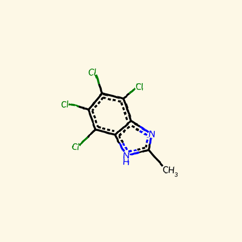 Cc1nc2c(Cl)c(Cl)c(Cl)c(Cl)c2[nH]1